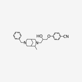 CC1C2CC(CN(Cc3ccccc3)C2)CN1CC(O)COc1ccc(C#N)cc1